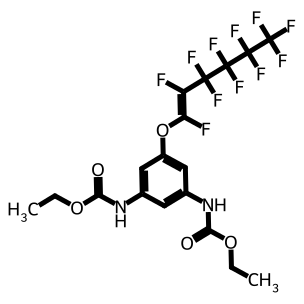 CCOC(=O)Nc1cc(NC(=O)OCC)cc(OC(F)=C(F)C(F)(F)C(F)(F)C(F)(F)C(F)(F)F)c1